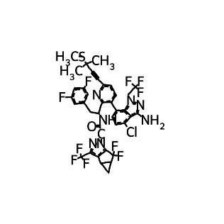 CSC(C)(C)C#Cc1ccc(-c2ccc(Cl)c3c(N)nn(CC(F)(F)F)c23)c(C(Cc2cc(F)cc(F)c2)NC(=O)Cn2nc(C(F)(F)F)c3c2C(F)(F)C2CC32)n1